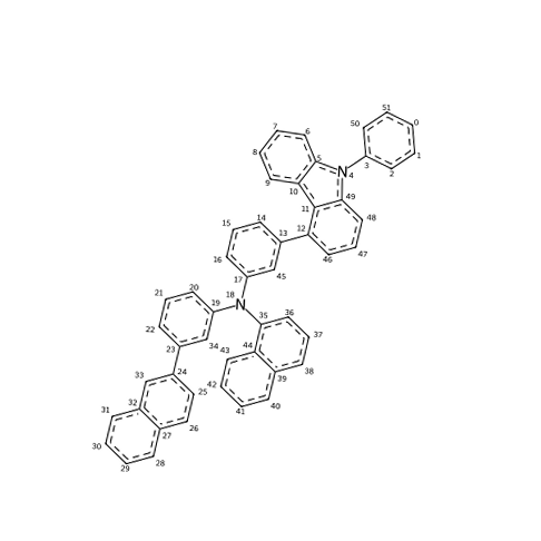 c1ccc(-n2c3ccccc3c3c(-c4cccc(N(c5cccc(-c6ccc7ccccc7c6)c5)c5cccc6ccccc56)c4)cccc32)cc1